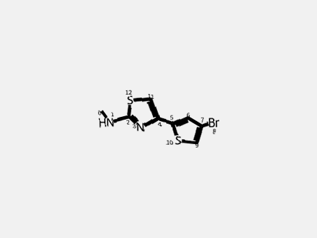 CNc1nc(-c2cc(Br)cs2)cs1